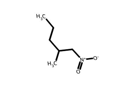 CCCC(C)C[N+](=O)[O-]